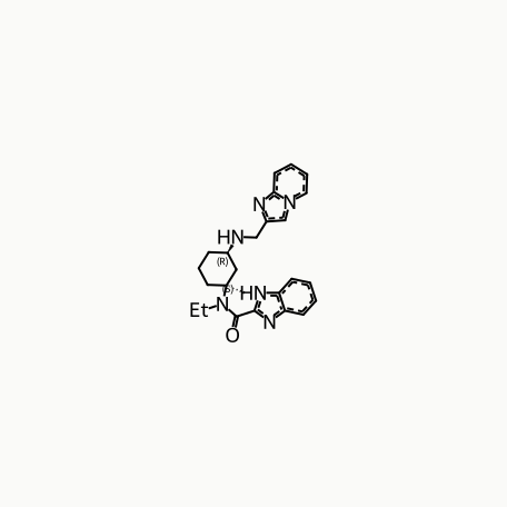 CCN(C(=O)c1nc2ccccc2[nH]1)[C@@]1(C)CCC[C@@H](NCc2cn3ccccc3n2)C1